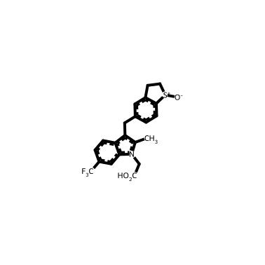 Cc1c(Cc2ccc3c(c2)CC[S+]3[O-])c2ccc(C(F)(F)F)cc2n1CC(=O)O